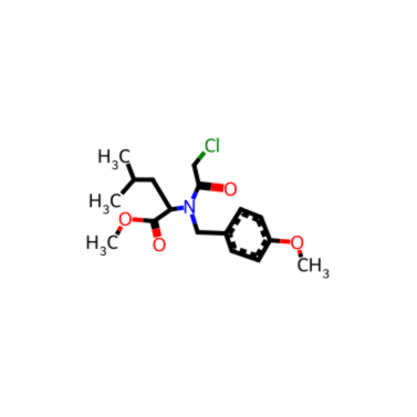 COC(=O)C(CC(C)C)N(Cc1ccc(OC)cc1)C(=O)CCl